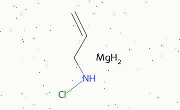 C=CCNCl.[MgH2]